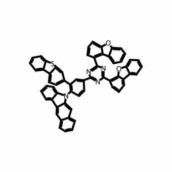 c1ccc2cc3c(cc2c1)c1ccccc1n3-c1ccc(-c2nc(-c3cccc4c3oc3ccccc34)nc(-c3cccc4oc5ccccc5c34)n2)cc1-c1ccc2c(c1)sc1ccccc12